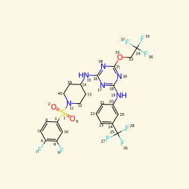 O=S(=O)(c1ccc(F)c(F)c1)N1CCC(Nc2nc(Nc3cccc(C(F)(F)F)c3)nc(OCC(F)(F)F)n2)CC1